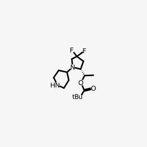 CC(OC(=O)C(C)(C)C)[C@H]1CC(F)(F)CN1C1CCNCC1